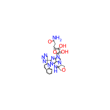 NC(=O)CC[C@@H]1O[C@@H](n2cnc3c(N[C@@H]4CCOC4)nc(C4(c5ccc6ccccc6n5)C=NN=N4)nc32)[C@@H](O)[C@@H]1O